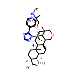 CCCN[C@@](C)(CO[C@H]1[C@H](n2ncnc2-c2ccncc2)C[C@@]23COC[C@]1(C)[C@@H]2CC[C@H]1C3=CC[C@@]2(C)[C@H](C(=O)O)[C@@](C)([C@H](C)C(C)C)CC[C@]12C)C(C)(C)C